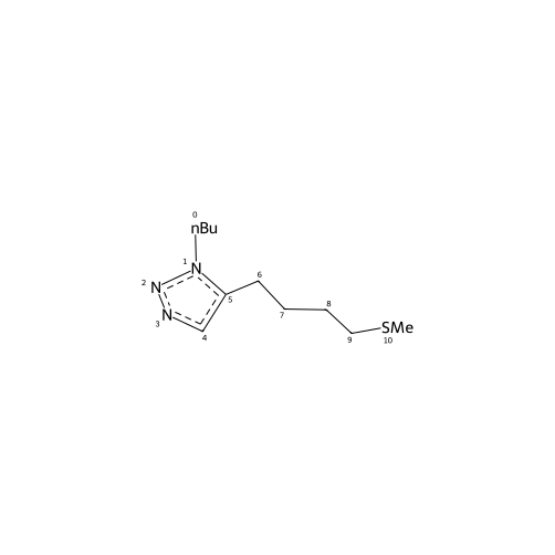 CCCCn1nncc1CCCCSC